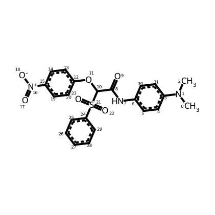 CN(C)c1ccc(NC(=O)C(Oc2ccc([N+](=O)[O-])cc2)S(=O)(=O)c2ccccc2)cc1